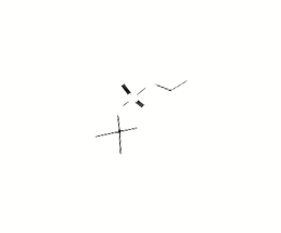 CCOS(=O)(=O)OC(C)(C)C.F